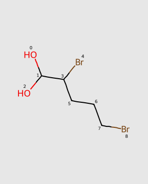 OC(O)C(Br)CCCBr